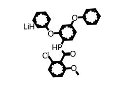 COc1cccc(Cl)c1C(=O)Pc1ccc(Oc2ccccc2)cc1Oc1ccccc1.[LiH]